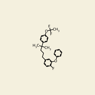 CC(F)(F)Oc1ccc(C(C)(C)CCCc2ccc(F)c(Oc3ccccc3)c2)cc1